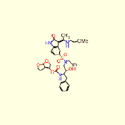 COCCN/C(C)=C1/C(=O)Nc2ccc(S(=O)(=O)N(CC(C)C)CC(O)C(Cc3ccccc3)NC(=O)OC3COC4OCCC34)cc21